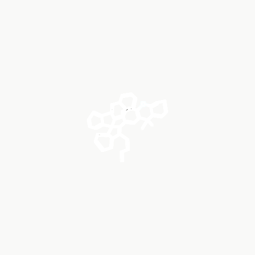 C=C/C=C\C1=C(c2ccc3c(c2)C(C)(C)c2ccccc2O3)C2(C3=CC4C=CC=CC4C=C3c3ccccc32)c2ccccc21